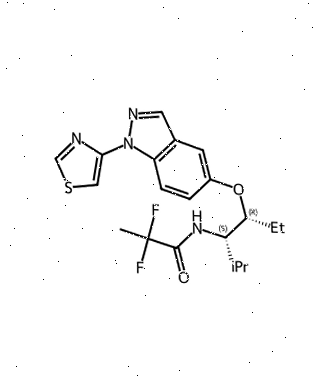 CC[C@@H](Oc1ccc2c(cnn2-c2cscn2)c1)[C@@H](NC(=O)C(C)(F)F)C(C)C